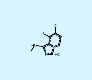 CNc1ncn2ccc(Cl)c(F)c12.Cl